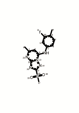 Cc1cc(Nc2ccc(C)c(F)c2)n2nc(S(C)(=O)=O)nc2n1